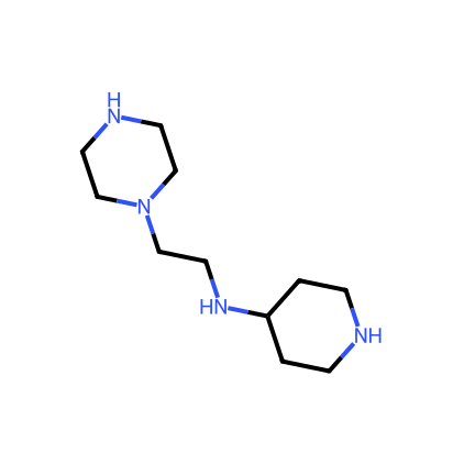 C1CC(NCCN2CCNCC2)CCN1